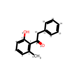 Cc1cccc(O)c1C(=O)Cc1ccccc1